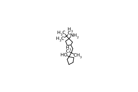 CC(C)(C)C1(N)CCC(CC(C)(C)C2(O)CCCC2)C1